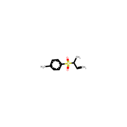 C=CC(C)S(=O)(=O)c1ccc(C)cc1